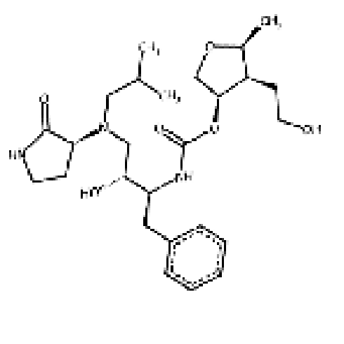 CC(C)CN(C[C@@H](O)[C@H](Cc1ccccc1)NC(=O)O[C@H]1CO[C@@H](C)[C@H]1CCO)[C@H]1CCNC1=O